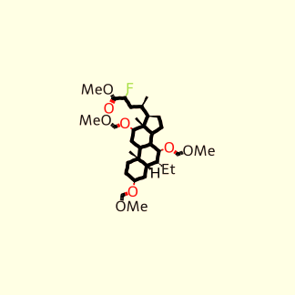 CC[C@H]1[C@@H](OCOC)C2C3CC[C@H]([C@H](C)C[C@@H](F)C(=O)OC)[C@@]3(C)[C@@H](OCOC)CC2[C@@]2(C)CC[C@@H](OCOC)C[C@@H]12